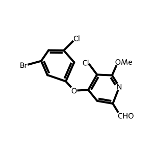 COc1nc(C=O)cc(Oc2cc(Cl)cc(Br)c2)c1Cl